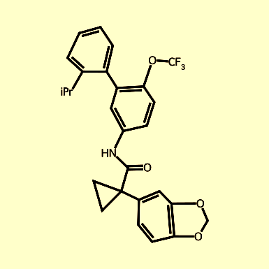 CC(C)c1ccccc1-c1cc(NC(=O)C2(c3ccc4c(c3)OCO4)CC2)ccc1OC(F)(F)F